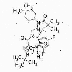 CN(C)C(=O)[C@@H]1C[C@H](N(C(=O)C(C)(C)C)C2CCC(C)(C)CC2)CN1C(=O)C1CN(C(C)(C)C)CC1c1ccc(F)cc1F